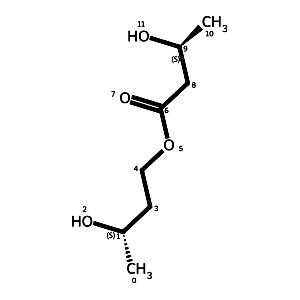 C[C@H](O)CCOC(=O)C[C@H](C)O